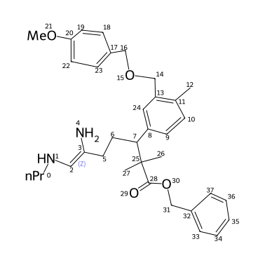 CCCN/C=C(\N)CCC(c1ccc(C)c(COCc2ccc(OC)cc2)c1)C(C)(C)C(=O)OCc1ccccc1